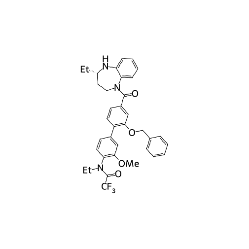 CC[C@H]1CCN(C(=O)c2ccc(-c3ccc(N(CC)C(=O)C(F)(F)F)c(OC)c3)c(OCc3ccccc3)c2)c2ccccc2N1